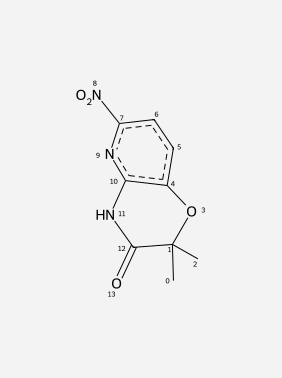 CC1(C)Oc2ccc([N+](=O)[O-])nc2NC1=O